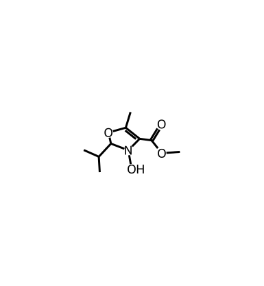 COC(=O)C1=C(C)OC(C(C)C)N1O